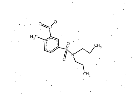 CCCN(CCC)S(=O)(=O)c1ccc(C)c([N+](=O)[O-])c1